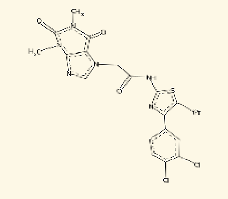 CC(C)c1sc(NC(=O)Cn2cnc3c2c(=O)n(C)c(=O)n3C)nc1-c1ccc(Cl)c(Cl)c1